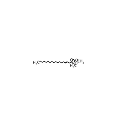 CCCCCCCCCCCCCCC=CCC1=NC(OC)(OC)CO1